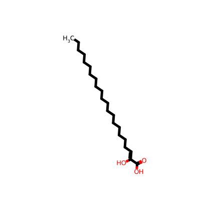 CCCCCCCCCCCCCCCCCCCC=C(O)C(=O)O